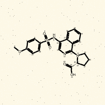 COc1ccc(S(=O)(=O)Nc2cnc(N3CCC[C@@H]3C(=O)O)c3ccccc23)cc1